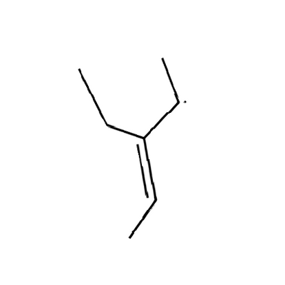 C[CH]/C(=C/C)CC